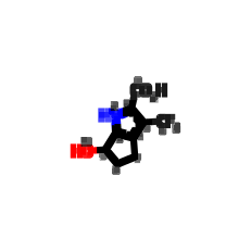 O=C(O)c1[nH]c2c(c1C(F)(F)F)CCC2O